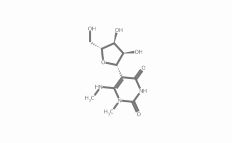 CNc1c([C@@H]2O[C@H](CO)[C@@H](O)[C@H]2O)c(=O)[nH]c(=O)n1C